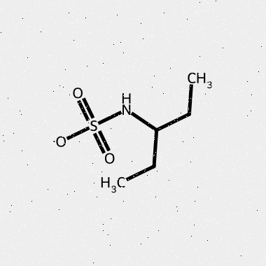 CCC(CC)NS([O])(=O)=O